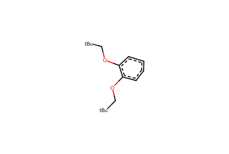 CC(C)(C)COc1ccccc1OCC(C)(C)C